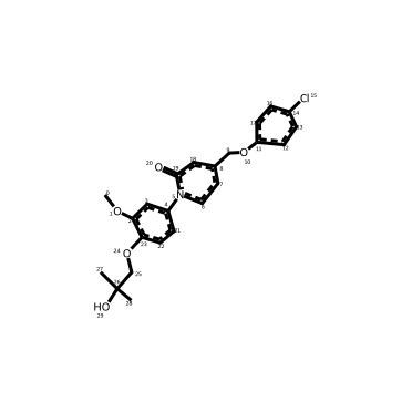 COc1cc(-n2ccc(COc3ccc(Cl)cc3)cc2=O)ccc1OCC(C)(C)O